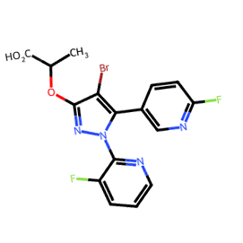 CC(Oc1nn(-c2ncccc2F)c(-c2ccc(F)nc2)c1Br)C(=O)O